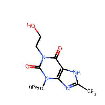 CCCCCn1c(=O)n(CCO)c(=O)c2[nH]c(C(F)(F)F)nc21